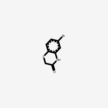 O=C1CSc2ccc(Br)cc2N1